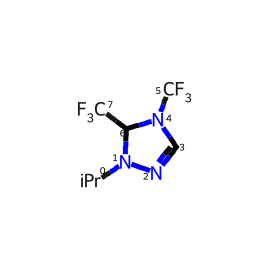 CC(C)N1N=CN(C(F)(F)F)C1C(F)(F)F